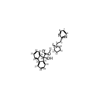 C[N+]1(CCc2ncccn2)CCC[C@@H]1COC(=O)C1(O)c2ccccc2-c2ccccc21